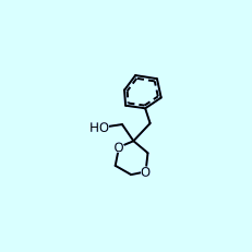 OCC1(Cc2ccccc2)COCCO1